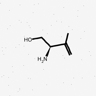 C=C(C)[C@@H](N)CO